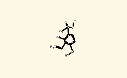 [2H]c1c(P([2H])(=O)OCC)ccc(OC(C)C)c1C=C